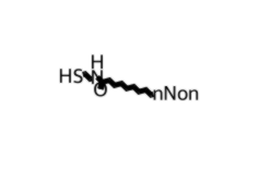 CCCCCCCCCCCCCCCCCC(=O)NCCS